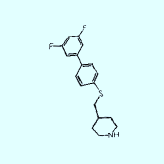 Fc1cc(F)cc(-c2ccc(SCC3CCNCC3)cc2)c1